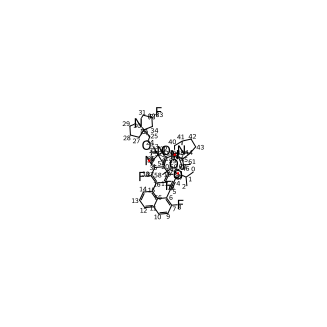 CC(C)[Si](C#Cc1c(F)ccc2cccc(-c3c(F)c4c5c(nc(OC[C@@]67CCCN6C[C@H](F)C7)nc5c3F)N3CC5CCC(C3CO4)N5C(=O)OC(C)(C)C)c12)(C(C)C)C(C)C